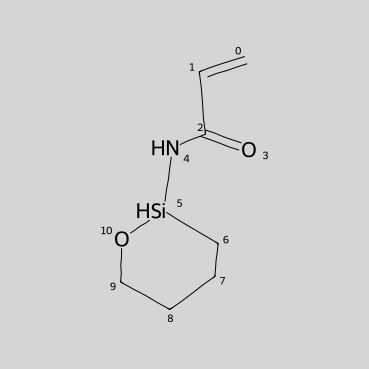 C=CC(=O)N[SiH]1CCCCO1